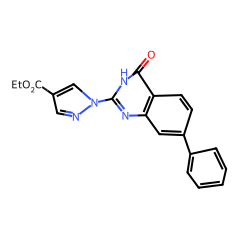 CCOC(=O)c1cnn(-c2nc3cc(-c4ccccc4)ccc3c(=O)[nH]2)c1